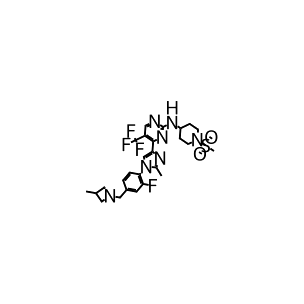 Cc1nc(-c2nc(NC3CCN(S(C)(=O)=O)CC3)ncc2C(F)(F)F)cn1-c1ccc(CN2CC(C)C2)cc1F